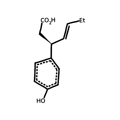 CC/C=C/[C@H](CC(=O)O)c1ccc(O)cc1